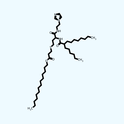 CCCCCCCCCCCCCCOC(=O)CCSCCC(NC(=O)C(CCCCCC)CCCCCCCC)C(=O)NCCn1ccnc1